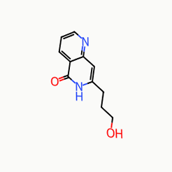 O=c1[nH]c(CCCO)cc2ncccc12